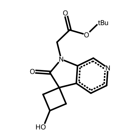 CC(C)(C)OC(=O)CN1C(=O)C2(CC(O)C2)c2ccncc21